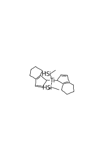 C[SiH](C)[Ti]([CH]1C=CC2=C1CCCC2)([CH]1C=CC2=C1CCCC2)[SiH](C)C